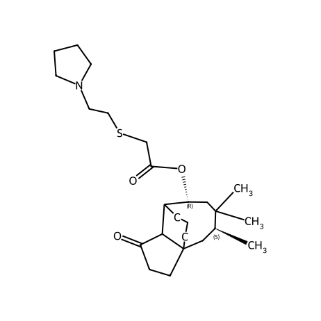 C[C@H]1CC23CCCC(C2C(=O)CC3)[C@H](OC(=O)CSCCN2CCCC2)CC1(C)C